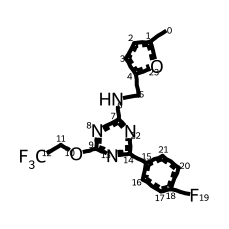 Cc1ccc(CNc2nc(OCC(F)(F)F)nc(-c3ccc(F)cc3)n2)o1